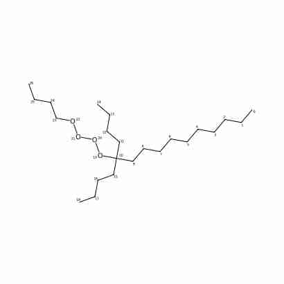 CCCCCCCCCCC(CCCC)(CCCC)OOOOCCCC